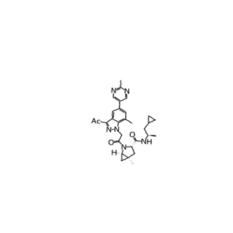 CC(=O)c1nn(CC(=O)N2[C@H](C(=O)N[C@H](C)CC3CC3)C[C@@]3(C)C[C@@H]23)c2c(C)cc(-c3cnc(C)nc3)cc12